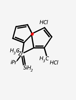 CC1=[C]([Zr]([CH3])(=[SiH2])([C]2=CC=CC2)[CH](C)C)CC=C1.Cl.Cl